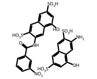 Nc1cc2c(O)cc(S(=O)(=O)O)cc2cc1S(=O)(=O)O.O=C(Nc1cc2c(O)cc(S(=O)(=O)O)cc2cc1S(=O)(=O)O)c1cccc([N+](=O)[O-])c1